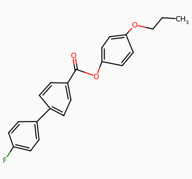 CCCOc1ccc(OC(=O)c2ccc(-c3ccc(F)cc3)cc2)cc1